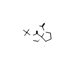 CC[C@]1(C(=O)OC(C)(C)C)[C@@H](O)CCN1C(=O)O